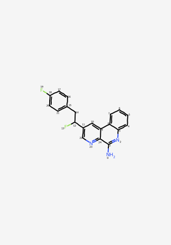 Nc1nc2ccccc2c2cc(C(F)Cc3ccc(F)cc3)cnc12